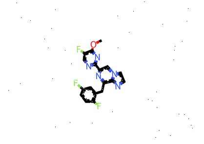 COc1nc(-c2cn3ccnc3c(Cc3cc(F)ccc3F)n2)ncc1F